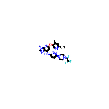 Cc1cc(C#N)ncc1Oc1cc(Nc2ccc(N3CCN(C(F)C(F)F)CC3)nn2)c2ncn(C)c2n1